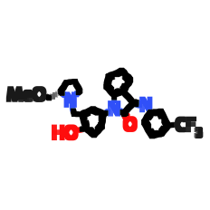 COC[C@@H]1CCCN1Cc1cc(N2C(=O)C(=Nc3cccc(C(F)(F)F)c3)c3ccccc32)ccc1O